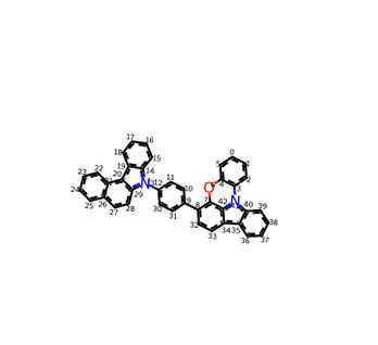 c1ccc2c(c1)Oc1c(-c3ccc(-n4c5ccccc5c5c6ccccc6ccc54)cc3)ccc3c4ccccc4n-2c13